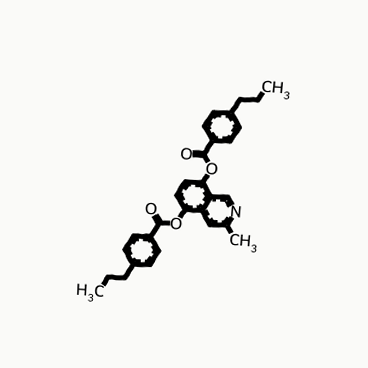 CCCc1ccc(C(=O)Oc2ccc(OC(=O)c3ccc(CCC)cc3)c3cc(C)ncc23)cc1